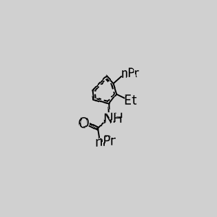 CCCC(=O)Nc1cccc(CCC)c1CC